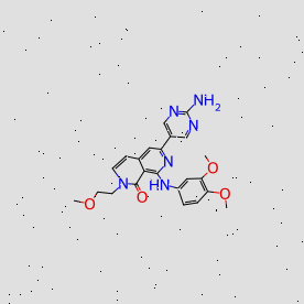 COCCn1ccc2cc(-c3cnc(N)nc3)nc(Nc3ccc(OC)c(OC)c3)c2c1=O